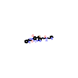 COc1cc(-c2csc3c(/C=C/C(=O)NCCc4cccn4C)cnc(N)c23)ccc1NC(=O)c1cc2ccccc2n1C